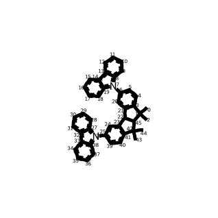 CC1(C)c2ccc(-n3c4ccccc4c4ccccc43)cc2C2c3cc(-n4c5ccccc5c5ccccc54)ccc3C(C)(C)C21